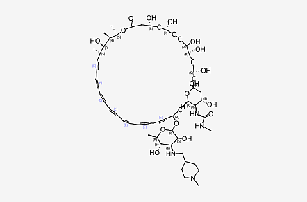 CNC(=O)N[C@H]1[C@@H]2C[C@@H](O[C@@H]3O[C@H](C)[C@@H](O)[C@H](NCC4CCN(C)CC4)[C@@H]3O)/C=C/C=C/C=C/C=C/C=C/C=C/C=C/[C@H](C)[C@@H](O)[C@@H](C)[C@H](C)OC(=O)C[C@H](O)C[C@H](O)CC[C@@H](O)[C@H](O)C[C@H](O)C[C@](O)(C[C@@H]1O)O2